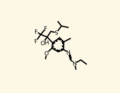 CCN(C)C=Nc1cc(OC)c(C(O)(CSC(C)C)C(F)(F)F)cc1C